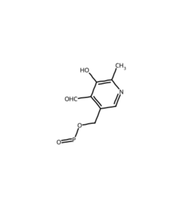 Cc1ncc(COP=O)c(C=O)c1O